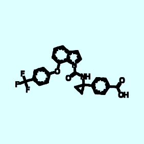 O=C(O)c1ccc(C2(NC(=O)n3ccc4cccc(Oc5ccc(C(F)(F)F)cc5)c43)CC2)cc1